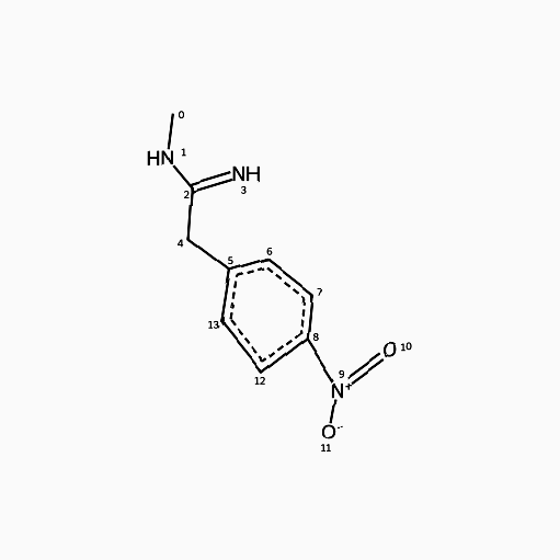 CNC(=N)Cc1ccc([N+](=O)[O-])cc1